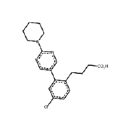 O=C(O)CCCc1ccc(Cl)cc1-c1cnc(N2CCCCC2)nc1